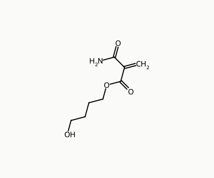 C=C(C(N)=O)C(=O)OCCCCO